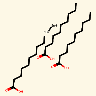 CCCCCCCCCC(=O)O.CCCCCCCCCC(=O)O.CCCCCCCCCC(=O)O.CCC[CH2][SnH]